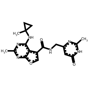 Cc1nc(NC2(C)CC2)c2c(C(=O)NCc3cc(=O)[nH]c(C)n3)coc2n1